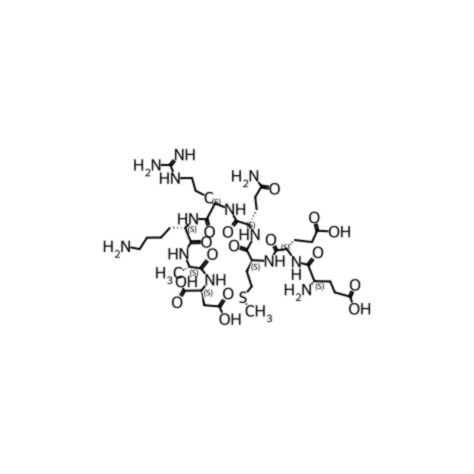 CSCC[C@H](NC(=O)[C@H](CCC(=O)O)NC(=O)[C@@H](N)CCC(=O)O)C(=O)N[C@@H](CCC(N)=O)C(=O)N[C@@H](CCCNC(=N)N)C(=O)N[C@@H](CCCCN)C(=O)N[C@@H](C)C(=O)N[C@@H](CC(=O)O)C(=O)O